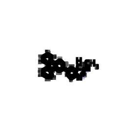 C/N=C/C=N\c1ccc(-c2ccc3c4ccccc4c4ccccc4c3c2)cc1C